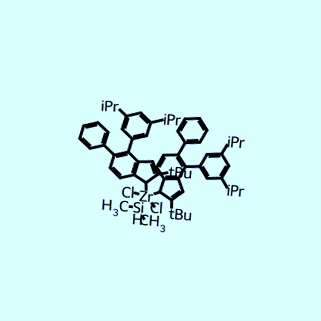 CC(C)c1cc(-c2c(-c3ccccc3)ccc3c2C=C(C(C)(C)C)[CH]3[Zr]([Cl])([Cl])([CH]2C(C(C)(C)C)=Cc3c2ccc(-c2ccccc2)c3-c2cc(C(C)C)cc(C(C)C)c2)[SiH](C)C)cc(C(C)C)c1